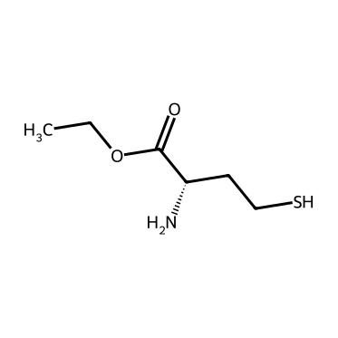 CCOC(=O)[C@@H](N)CCS